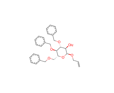 C=CCO[C@H]1O[C@H](COCc2ccccc2)[C@@H](OCc2ccccc2)[C@H](OCc2ccccc2)[C@H]1O